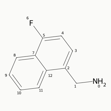 NCc1ccc(F)c2ccccc12